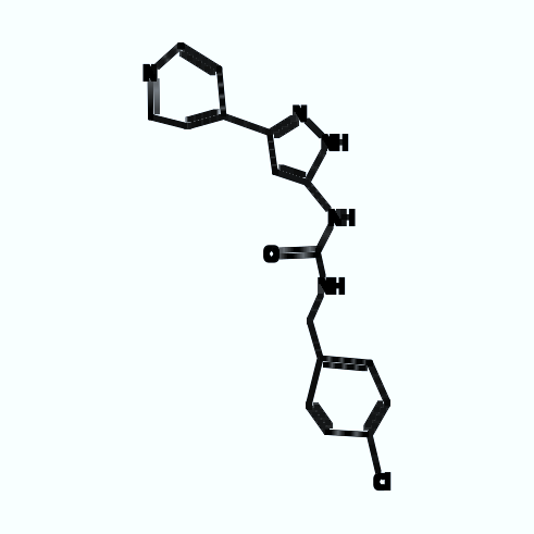 O=C(NCc1ccc(Cl)cc1)Nc1cc(-c2ccncc2)n[nH]1